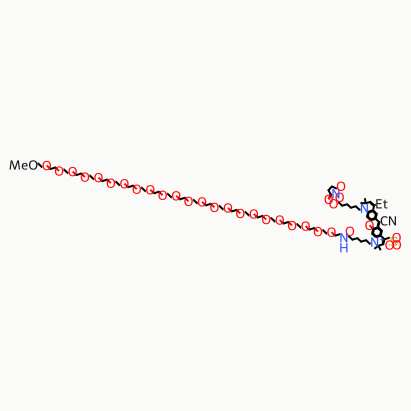 CCC1=CC(C)(C)N(CCCCCC(=O)ON2C(=O)CCC2=O)c2cc3c(cc21)C(C#N)=c1cc2c(cc1O3)=[N+](CCCCCC(=O)NCCOCCOCCOCCOCCOCCOCCOCCOCCOCCOCCOCCOCCOCCOCCOCCOCCOCCOCCOCCOCCOCCOCCOCCOC)C(C)(C)C=C2CS(=O)(=O)[O-]